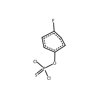 Fc1ccc(OP(=S)(Cl)Cl)cc1